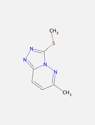 CSc1nnc2ccc(C)nn12